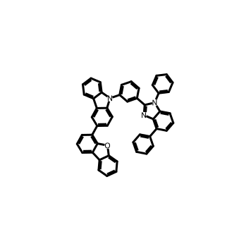 c1ccc(-c2cccc3c2nc(-c2cccc(-n4c5ccccc5c5cc(-c6cccc7c6oc6ccccc67)ccc54)c2)n3-c2ccccc2)cc1